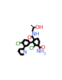 C[C@@H](O)CNC(=O)c1ccc(C(N)=O)c(Cl)c1-c1ccc(Cl)c(-c2ccccn2)c1